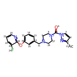 CC(=O)c1ccn(C(=O)N2CCN(Cc3cccc(Oc4ncccc4F)c3)CC2)n1